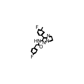 Cc1cc(-c2c(NC(=O)Cc3ccc(F)cc3)nn3cccnc23)ccc1F